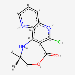 CC[C@]1(C)COC(=O)c2c(Cl)nc3cccnc3c2N1